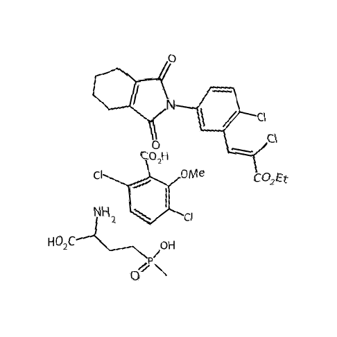 CCOC(=O)/C(Cl)=C/c1cc(N2C(=O)C3=C(CCCC3)C2=O)ccc1Cl.COc1c(Cl)ccc(Cl)c1C(=O)O.CP(=O)(O)CCC(N)C(=O)O